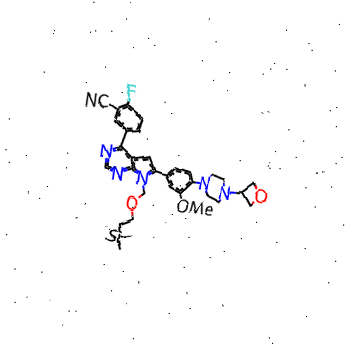 COc1cc(-c2cc3c(-c4ccc(F)c(C#N)c4)ncnc3n2COCC[Si](C)(C)C)ccc1N1CCN(C2COC2)CC1